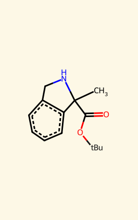 CC(C)(C)OC(=O)C1(C)NCc2ccccc21